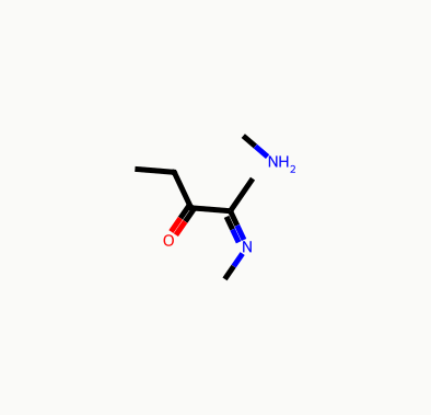 CCC(=O)/C(C)=N\C.CN